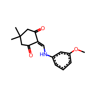 COc1cccc(NC=C2C(=O)CC(C)(C)CC2=O)c1